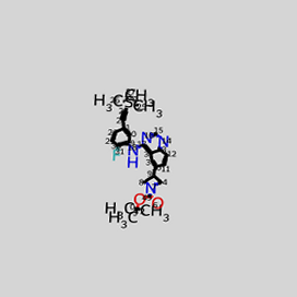 CC(C)(C)OC(=O)N1CC(c2ccc3ncnc(Nc4cc(C#C[Si](C)(C)C)ccc4F)c3c2)C1